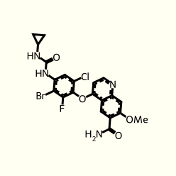 COc1cc2nccc(Oc3c(Cl)cc(NC(=O)NC4CC4)c(Br)c3F)c2cc1C(N)=O